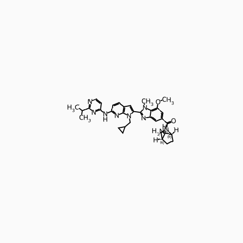 COc1cc(C(=O)N2C[C@H]3CC[C@@H]2[C@@H]3N)cc2nc(-c3cc4ccc(Nc5ccnc(C(C)C)n5)nc4n3CC3CC3)n(C)c12